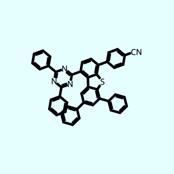 N#Cc1ccc(-c2ccc(-c3nc(-c4ccccc4)nc(-c4ccccc4)n3)c3c2sc2c(-c4ccccc4)cc(-c4ccccc4)cc23)cc1